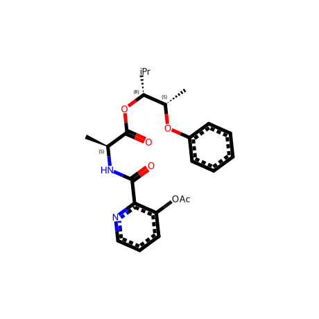 CC(=O)Oc1cccnc1C(=O)N[C@@H](C)C(=O)O[C@H](C(C)C)[C@H](C)Oc1ccccc1